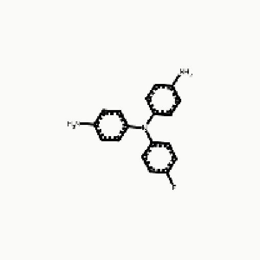 Nc1ccc(N(c2ccc(N)cc2)c2ccc(F)cc2)cc1